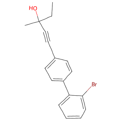 CCC(C)(O)C#Cc1ccc(-c2ccccc2Br)cc1